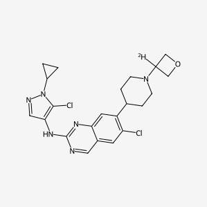 [2H]C1(N2CCC(c3cc4nc(Nc5cnn(C6CC6)c5Cl)ncc4cc3Cl)CC2)COC1